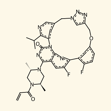 C=CC(=O)N1C[C@H](C)N(c2nc(=O)n3c4nc(c(F)cc24)-c2cc(ccc2F)OCc2cn(nn2)Cc2cnc(C(C)C)c-3c2)C[C@H]1C